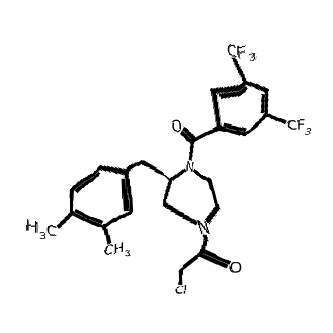 Cc1ccc(C[C@@H]2CN(C(=O)CCl)CCN2C(=O)c2cc(C(F)(F)F)cc(C(F)(F)F)c2)cc1C